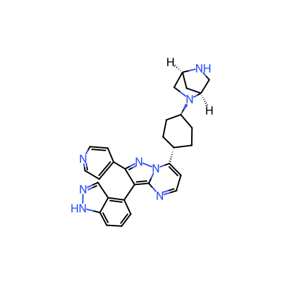 c1cc(-c2c(-c3ccncc3)nn3c2nccc3[C@H]2CC[C@H](N3C[C@@H]4C[C@H]3CN4)CC2)c2cn[nH]c2c1